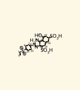 C=CS(=O)(=O)c1ccc(N=Nc2c(S(=O)(=O)O)cc3cc(S(=O)(=O)O)cc(O)c3c2N)cc1